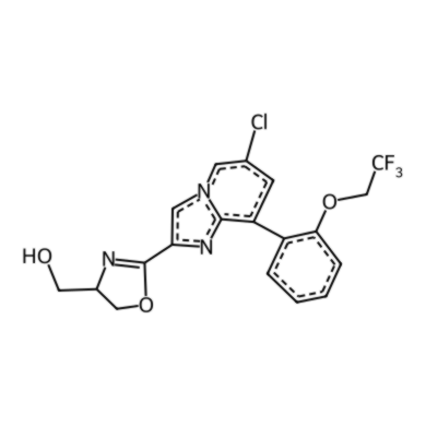 OCC1COC(c2cn3cc(Cl)cc(-c4ccccc4OCC(F)(F)F)c3n2)=N1